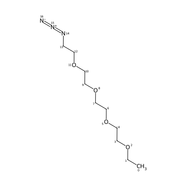 CCOC[CH]OCCOCCOCCN=[N+]=[N-]